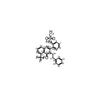 CS(=O)(=O)Nc1cccnc1-c1nc2ccnc(C(F)(F)F)c2c(=O)n1CCc1ccccc1